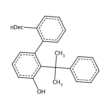 CCCCCCCCCCc1ccccc1-c1cccc(O)c1C(C)(C)c1ccccc1